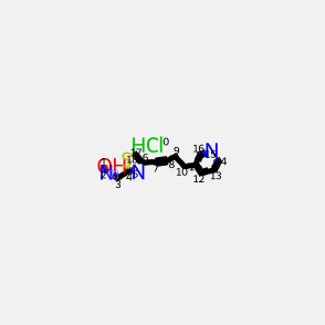 Cl.O/N=C\c1nc(C#CCCc2cccnc2)cs1